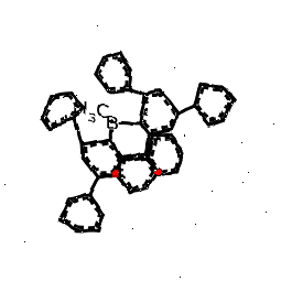 CB(c1c(-c2ccccc2)cc(-c2ccccc2)cc1-c1ccccc1)c1c(-c2ccccc2)cc(-c2ccccc2)cc1-c1ccccc1